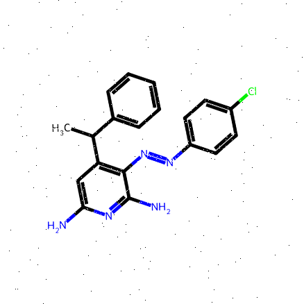 CC(c1ccccc1)c1cc(N)nc(N)c1/N=N/c1ccc(Cl)cc1